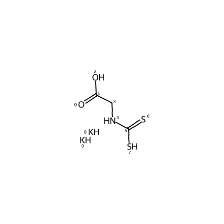 O=C(O)CNC(=S)S.[KH].[KH]